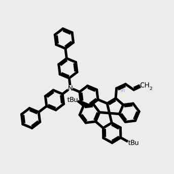 C=C/C=C\C1=C(c2ccc(N(c3ccc(-c4ccccc4)cc3)c3ccc(-c4ccccc4)cc3)cc2)C2(c3ccccc31)c1cc(C(C)(C)C)ccc1-c1ccc(C(C)(C)C)cc12